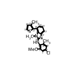 COc1cc(Cl)cc(C)c1Nc1nc2cccc(-c3sccc3C)c2n1C